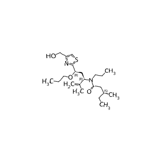 C=C(C)[C@@H](C[C@@H](OCCC)c1nc(CO)cs1)N(CCC)C(=O)C[C@@H](C)CC